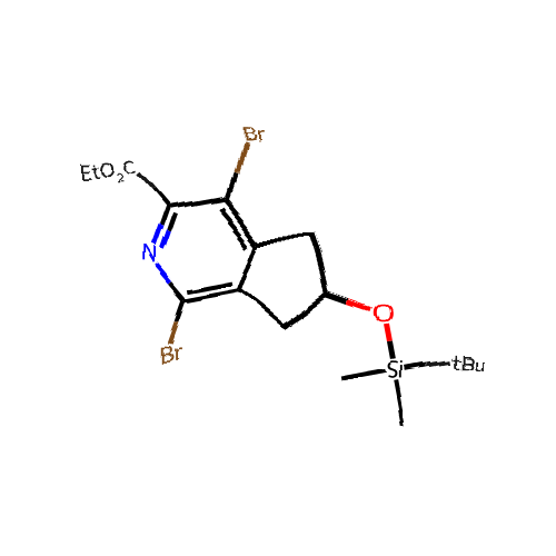 CCOC(=O)c1nc(Br)c2c(c1Br)CC(O[Si](C)(C)C(C)(C)C)C2